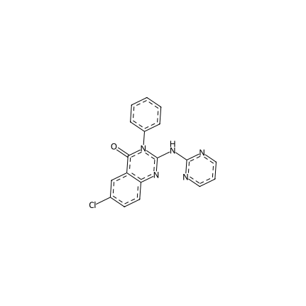 O=c1c2cc(Cl)ccc2nc(Nc2ncccn2)n1-c1ccccc1